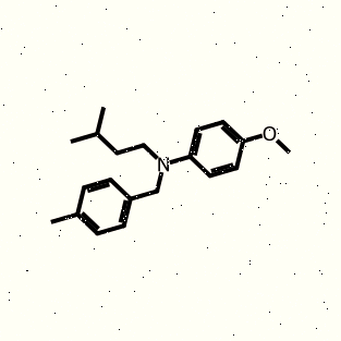 COc1ccc(N(CCC(C)C)Cc2ccc(C)cc2)cc1